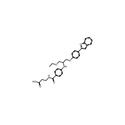 CCOCC(COc1ccc(-c2cc3ccccc3o2)cc1)Nc1ccc(C(=O)NCCC(=O)O)cc1